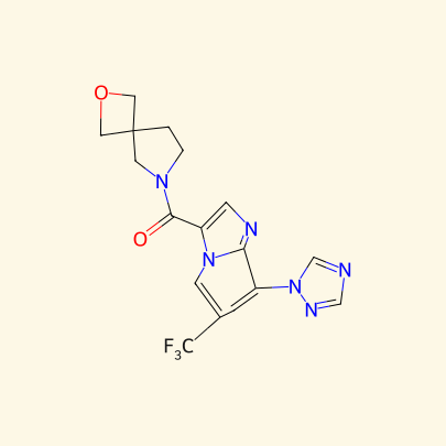 O=C(c1cnc2c(-n3cncn3)cc(C(F)(F)F)cn12)N1CCC2(COC2)C1